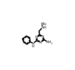 CC(C)(C)NCc1nc(N)nc(Nc2ccccc2)n1